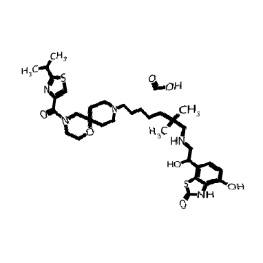 CC(C)c1nc(C(=O)N2CCOC3(CCN(CCCCCC(C)(C)CNCC(O)c4ccc(O)c5[nH]c(=O)sc45)CC3)C2)cs1.O=CO